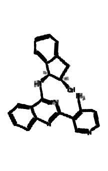 Nc1ccncc1-c1nc(N[C@H]2c3ccccc3C[C@H]2O)c2ccccc2n1